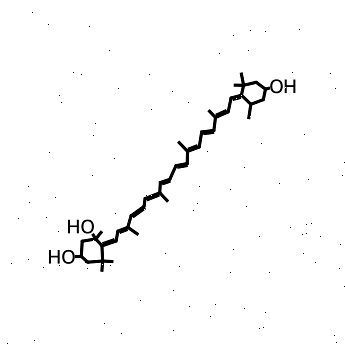 CC(/C=C/C=C(C)/C=C/C=C/C(C)=C/C=C/C(C)=C/C=C1\C(C)CC(O)CC1(C)C)=C\C=C1\C(C)(C)CC(O)CC1(C)O